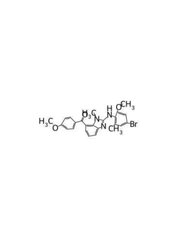 COc1ccc(C(=O)c2cccc3nc(Nc4c(C)cc(Br)cc4OC)n(C)c23)cc1